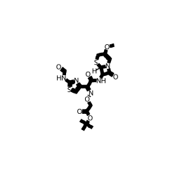 COC1=CN2C(=O)C(NC(=O)C(=NOCC(=O)OC(C)(C)C)c3csc(NC=O)n3)[C@H]2SC1